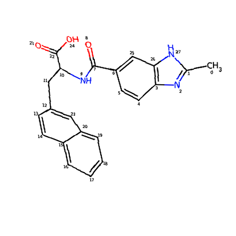 Cc1nc2ccc(C(=O)NC(Cc3ccc4ccccc4c3)C(=O)O)cc2[nH]1